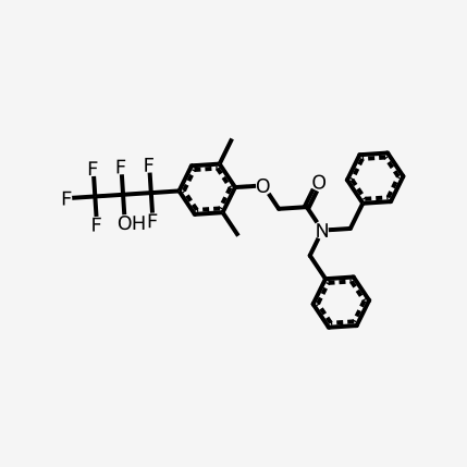 Cc1cc(C(F)(F)C(O)(F)C(F)(F)F)cc(C)c1OCC(=O)N(Cc1ccccc1)Cc1ccccc1